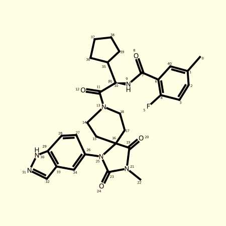 Cc1ccc(F)c(C(=O)N[C@@H](C(=O)N2CCC3(CC2)C(=O)N(C)C(=O)N3c2ccc3[nH]ncc3c2)C2CCCC2)c1